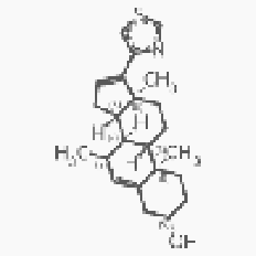 C[C@@H]1C=C2C[C@@H](O)CC[C@]2(C)[C@H]2CC[C@]3(C)C(c4cscn4)=CC[C@H]3[C@H]12